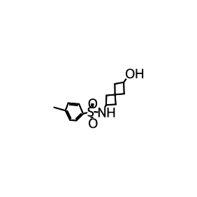 Cc1ccc(S(=O)(=O)NC2CC3(CC(O)C3)C2)cc1